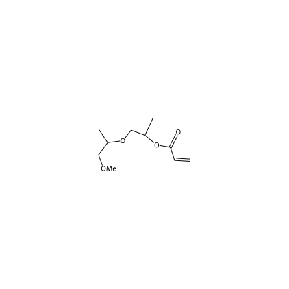 C=CC(=O)OC(C)COC(C)COC